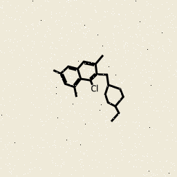 CCC1CCC(Cc2c(C)cc3cc(C)cc(C)c3c2Cl)CC1